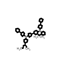 C=C/C=C(\C=C)c1ccc(N(c2ccc(-c3ccccc3)cc2)c2ccc(-c3ccc4c(c3)C(C)(C)c3ccccc3N4c3ccc(-c4ccccc4)cc3)cc2)cc1